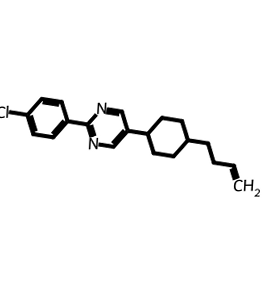 C=CCCC1CCC(c2cnc(-c3ccc(Cl)cc3)nc2)CC1